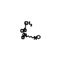 CCCCCOC(=O)C1CC(=O)N(CCCCCCN=C2CCCCC2)C1